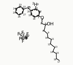 [2H]c1cc(OCC(O)CCCCCCCCCC)ccc1[I+]c1ccccc1.[F][Sb-]([F])([F])([F])([F])[F]